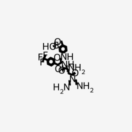 NCCN(CCN)C(=O)CC(N)C(=O)N[C@H](C(=O)Nc1ccc2c(c1)B(O)OC2)[C@H](O)c1ccc(C(F)(F)F)cc1